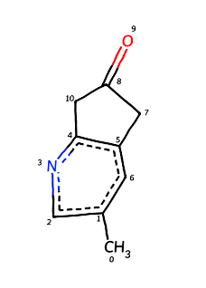 Cc1cnc2c(c1)CC(=O)C2